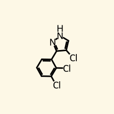 Clc1c[nH]nc1-c1cccc(Cl)c1Cl